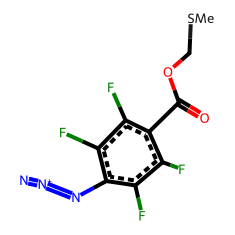 CSCOC(=O)c1c(F)c(F)c(N=[N+]=[N-])c(F)c1F